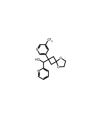 OC(c1ccccn1)C1(c2cncc(C(F)(F)F)c2)CC2(C1)OCCO2